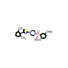 COc1ccc(OC)c(S(=O)(=O)N2CCN(c3nc(-c4c(C)cccc4C)cs3)CC2)c1